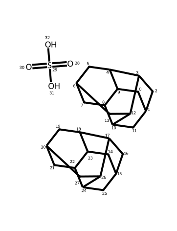 C1C2CC3C4CC5CC(C14)C(C2)C3C5.C1C2CC3C4CC5CC(C14)C(C2)C3C5.O=S(=O)(O)O